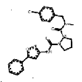 CN(Cc1ccc(Cl)cc1)C(=O)[C@H]1CCCN1C(=O)Nc1cc(-c2ccccc2)on1